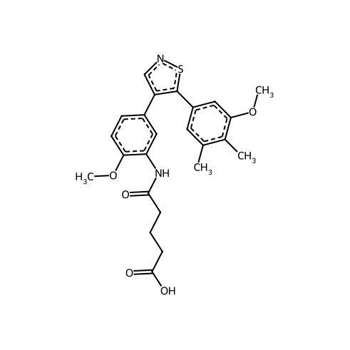 COc1ccc(-c2cnsc2-c2cc(C)c(C)c(OC)c2)cc1NC(=O)CCCC(=O)O